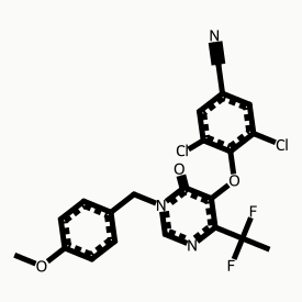 COc1ccc(Cn2cnc(C(C)(F)F)c(Oc3c(Cl)cc(C#N)cc3Cl)c2=O)cc1